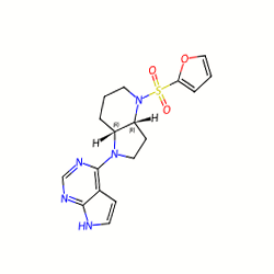 O=S(=O)(c1ccco1)N1CCC[C@@H]2[C@H]1CCN2c1ncnc2[nH]ccc12